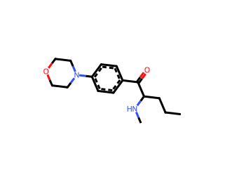 CCCC(NC)C(=O)c1ccc(N2CCOCC2)cc1